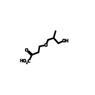 CC(CO)COCCC(=O)C(=O)O